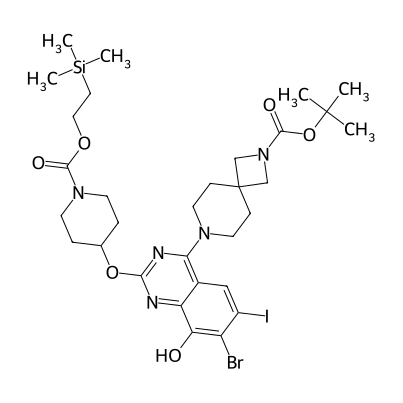 CC(C)(C)OC(=O)N1CC2(CCN(c3nc(OC4CCN(C(=O)OCC[Si](C)(C)C)CC4)nc4c(O)c(Br)c(I)cc34)CC2)C1